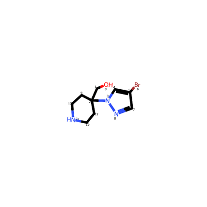 OCC1(n2cc(Br)cn2)CCNCC1